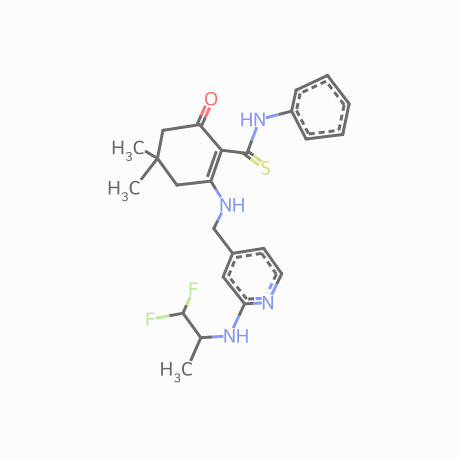 CC(Nc1cc(CNC2=C(C(=S)Nc3ccccc3)C(=O)CC(C)(C)C2)ccn1)C(F)F